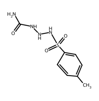 Cc1ccc(S(=O)(=O)NNNC(N)=O)cc1